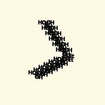 CC[N+](CC)(CC)CC.OB(O)O.OB(O)O.OB(O)O.OB(O)O.OB(O)O.OB(O)O.OB(O)O.OB(O)O.OB(O)O.OB(O)O.OB(O)O.OB(O)O